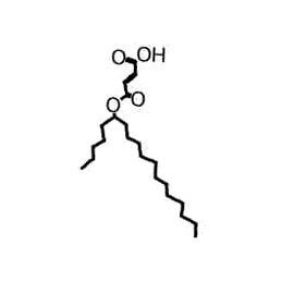 CCCCCCCCCCCCC(CCCCC)OC(=O)/C=C/C(=O)O